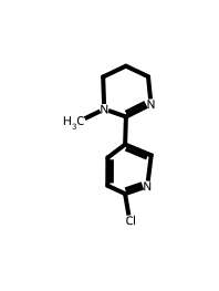 CN1CCCN=C1c1ccc(Cl)nc1